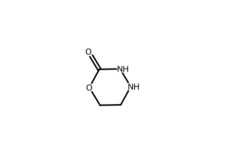 O=C1NNCCO1